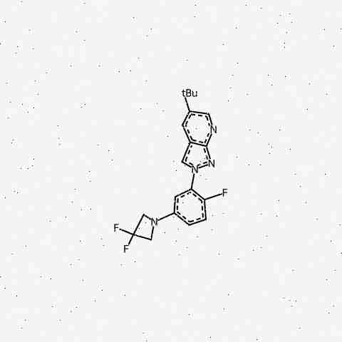 CC(C)(C)c1cnc2nn(-c3cc(N4CC(F)(F)C4)ccc3F)cc2c1